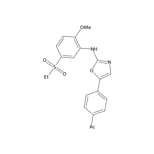 CCS(=O)(=O)c1ccc(OC)c(Nc2ncc(-c3ccc(C(C)=O)cc3)o2)c1